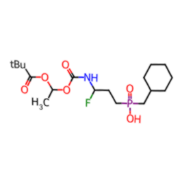 CC(OC(=O)NC(F)CCP(=O)(O)CC1CCCCC1)OC(=O)C(C)(C)C